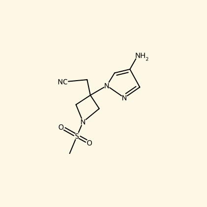 CS(=O)(=O)N1CC(CC#N)(n2cc(N)cn2)C1